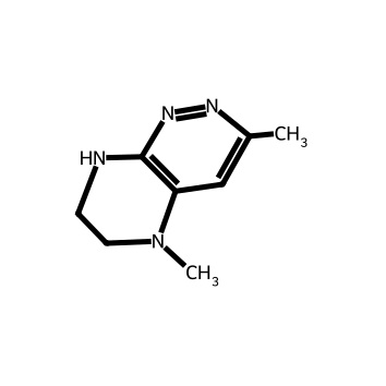 Cc1cc2c(nn1)NCCN2C